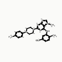 Cc1ccc(C(C)(C)C)cc1Nc1nc(N2CCN(c3ccc(C(F)(F)F)cc3)CC2)nc2ncn(C)c12